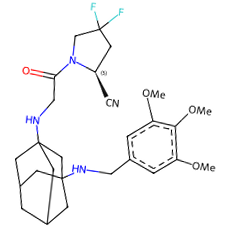 COc1cc(CNC23CC4CC(CC(NCC(=O)N5CC(F)(F)C[C@H]5C#N)(C4)C2)C3)cc(OC)c1OC